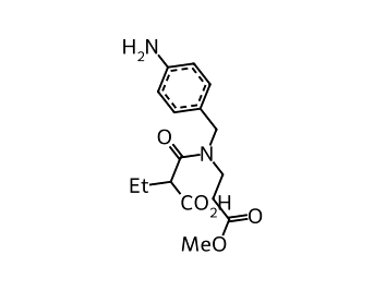 CCC(C(=O)O)C(=O)N(CCC(=O)OC)Cc1ccc(N)cc1